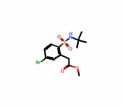 COC(=O)Cc1cc(Br)ccc1S(=O)(=O)NC(C)(C)C